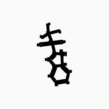 CC(C)(C)S(=O)(=O)c1nc2ccccc2[nH]1